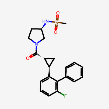 CS(=O)(=O)N[C@@H]1CCN(C(=O)[C@@H]2C[C@H]2c2cccc(F)c2-c2ccccc2)C1